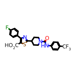 O=C(O)c1sc(C2CCN(C(=O)Nc3ccc(C(F)(F)F)cc3)CC2)nc1-c1ccc(F)cc1